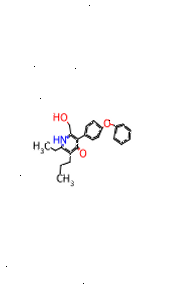 CCCc1c(CC)[nH]c(CO)c(-c2ccc(Oc3ccccc3)cc2)c1=O